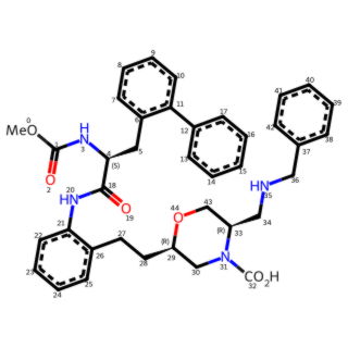 COC(=O)N[C@@H](Cc1ccccc1-c1ccccc1)C(=O)Nc1ccccc1CC[C@@H]1CN(C(=O)O)[C@H](CNCc2ccccc2)CO1